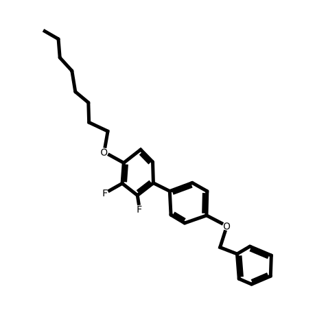 CCCCCCCCOc1ccc(-c2ccc(OCc3ccccc3)cc2)c(F)c1F